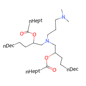 CCCCCCCCCCCCC(CN(CCCN(C)C)CC(CCCCCCCCCCCC)OC(=O)CCCCCCC)OC(=O)CCCCCCC